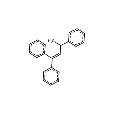 CC(C=C(c1ccccc1)c1ccccc1)c1ccccc1